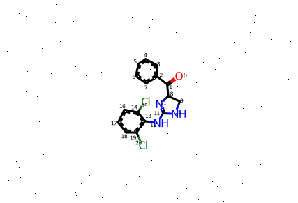 O=C(c1ccccc1)C1CNC(Nc2c(Cl)cccc2Cl)=N1